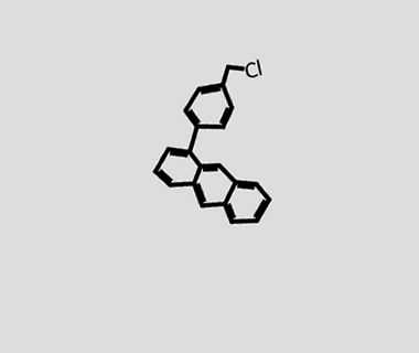 ClCc1ccc(-c2cccc3cc4ccccc4cc23)cc1